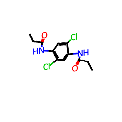 CCC(=O)Nc1cc(Cl)c(NC(=O)CC)cc1Cl